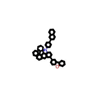 C1=CCC(c2ccccc2-c2ccccc2)(N(c2ccc(-c3ccc4ccccc4c3)cc2)c2ccc(-c3ccc4oc5ccccc5c4c3)cc2)C(c2ccccc2)=C1